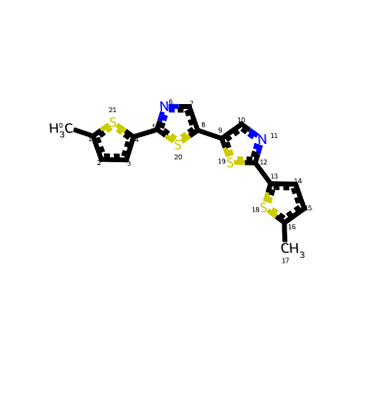 Cc1ccc(-c2ncc(-c3cnc(-c4ccc(C)s4)s3)s2)s1